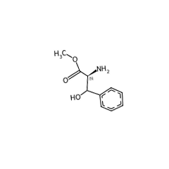 COC(=O)[C@@H](N)C(O)c1ccccc1